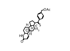 CC(=O)OCc1ccc(C(=S)C2CC[C@H]3[C@@H]4CCC5NC(=O)C=C[C@]5(C)[C@@H]4CC[C@]23C)cc1